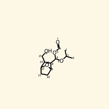 CC(C)OC(OC=O)C1C2CCC(O2)C1CO